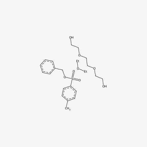 CCOCC.Cc1ccc(S(=O)(=O)OCc2ccccc2)cc1.OCCOCCOCCO